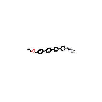 C=CCOCc1ccc(-c2ccc(-c3ccc(C4CCC(C/C=C/CC)CC4)cc3)cc2)cc1